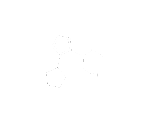 CO[SiH](OC)c1cccn1C1CCCC1